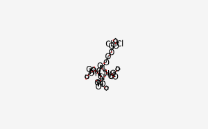 O=C(CCOCCOCCOCCC(=O)N1CCN(Cc2cccc(=O)n2OCc2ccccc2)CCN(Cc2cccc(=O)n2OCc2ccccc2)CCN(Cc2cccc(=O)n2OCc2ccccc2)CC1)Oc1c(Cl)cccc1Cl